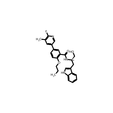 CCCOc1ccc(-c2cnc(F)c(C)c2)cc1C(=O)N[C@@H](CO)Cc1c[nH]c2ccccc12